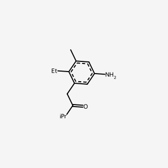 CCc1c(C)cc(N)cc1CC(=O)C(C)C